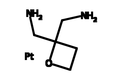 NCC1(CN)CCO1.[Pt]